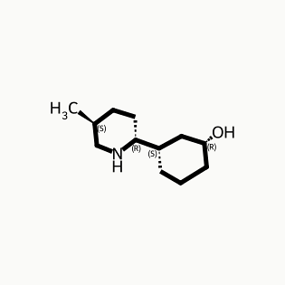 C[C@H]1CC[C@H]([C@H]2CCC[C@@H](O)C2)NC1